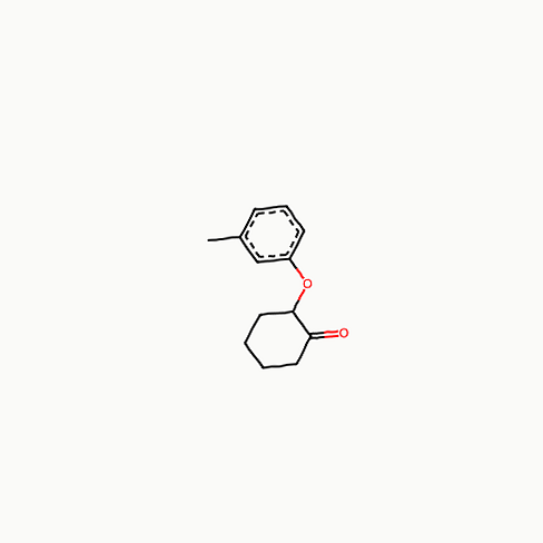 Cc1cccc(OC2CCCCC2=O)c1